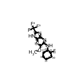 COc1nc2[nH]c(C(F)(F)F)nc2nc1Nc1ccccc1F